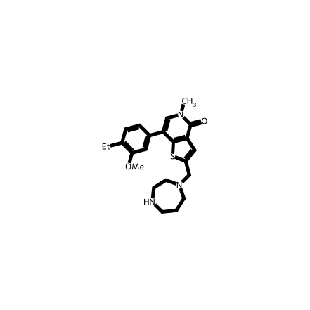 CCc1ccc(-c2cn(C)c(=O)c3cc(CN4CCCNCC4)sc23)cc1OC